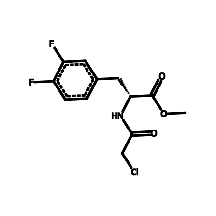 COC(=O)[C@@H](Cc1ccc(F)c(F)c1)NC(=O)CCl